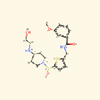 COc1cccc(C(=O)NCc2ccc([S+]([O-])N3CCC(NCCO)CC3)s2)c1